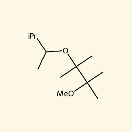 COC(C)(C)C(C)(C)OC(C)C(C)C